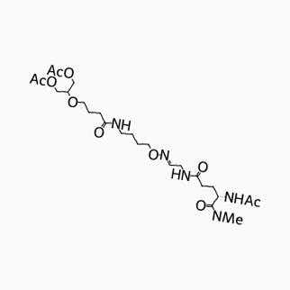 CNC(=O)[C@H](CCC(=O)NC/C=N/OCCCCNC(=O)CCCOC(COC(C)=O)COC(C)=O)NC(C)=O